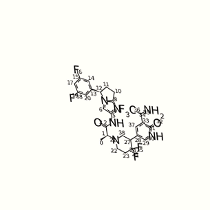 C[C@@H](C(=O)Nc1cn2c(n1)CC[C@@H]2c1cc(F)cc(F)c1)N1CCC(F)(F)C(c2c[nH]c(=O)c(C(N)C(F)(F)F)c2)C1